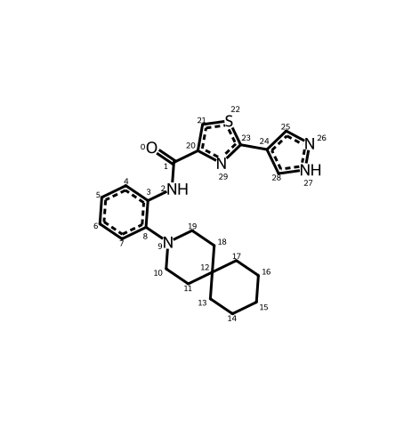 O=C(Nc1ccccc1N1CCC2(CCCCC2)CC1)c1csc(-c2cn[nH]c2)n1